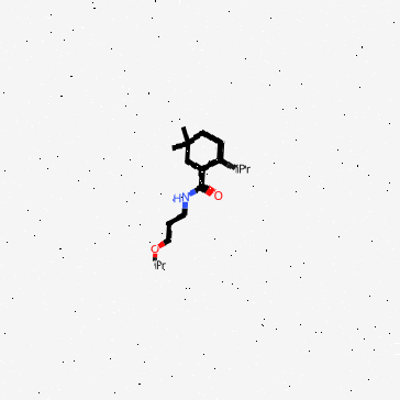 CC(C)OCCCNC(=O)C1CC(C)(C)CCC1C(C)C